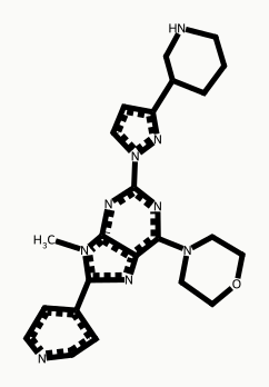 Cn1c(-c2ccncc2)nc2c(N3CCOCC3)nc(-n3ccc(C4CCCNC4)n3)nc21